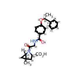 C[C@@H](Oc1ccc(C(=O)NCC(=O)N2[C@H]3C[C@@]3(C)C[C@H]2C(=O)O)cc1)c1ccccc1